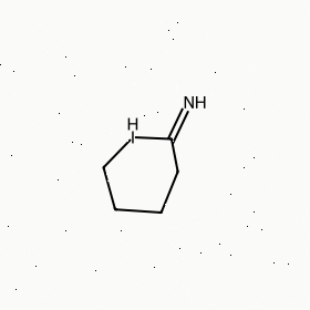 N=C1CCCC[IH]1